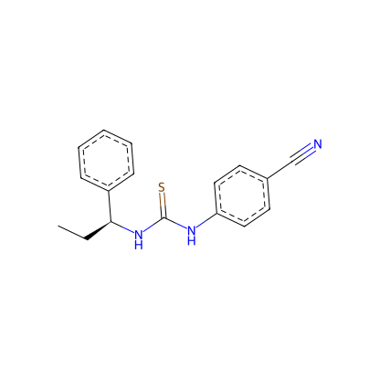 CC[C@H](NC(=S)Nc1ccc(C#N)cc1)c1ccccc1